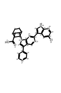 O=C(O)C1C2CCC(CC2)C1n1cc(-c2ccncc2)c2cnc(-c3c[nH]c4ncc(Cl)cc34)nc21